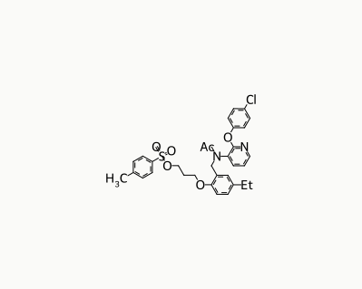 CCc1ccc(OCCCOS(=O)(=O)c2ccc(C)cc2)c(CN(C(C)=O)c2cccnc2Oc2ccc(Cl)cc2)c1